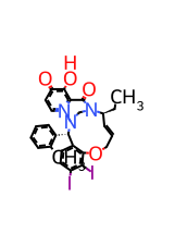 CC[C@H]1/C=C/COc2c(ccc(I)c2I)[C@H](c2ccccc2C)N2CN1C(=O)c1c(O)c(=O)ccn12